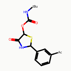 CC(=O)c1cccc(C2NC(=O)C(OC(=O)NC(C)(C)C)S2)c1